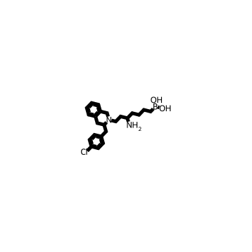 NC(CCCCB(O)O)CCN1Cc2ccccc2CC1Cc1ccc(Cl)cc1